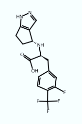 O=C(O)[C@H](Cc1ccc(C(F)(F)F)c(F)c1)N[C@@H]1CCc2[nH]ncc21